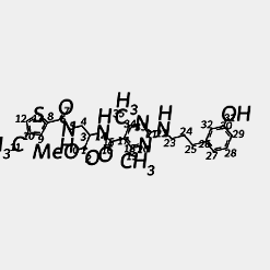 COC(=O)C(CNC(=O)c1cc(C)cs1)NC(=O)c1c(C)nc(NCCCc2cccc(O)c2)nc1C